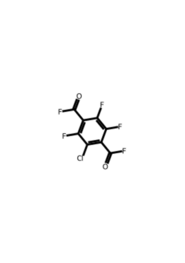 O=C(F)c1c(F)c(F)c(C(=O)F)c(Cl)c1F